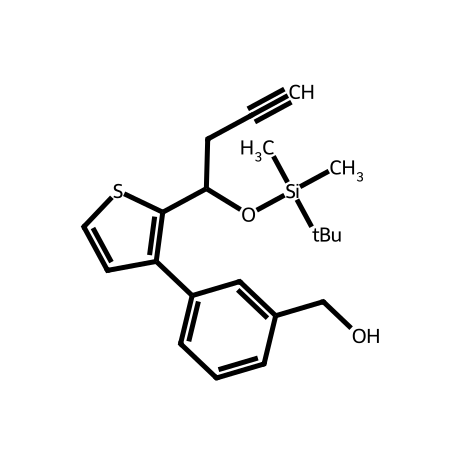 C#CCC(O[Si](C)(C)C(C)(C)C)c1sccc1-c1cccc(CO)c1